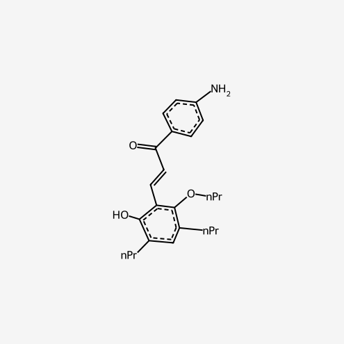 CCCOc1c(CCC)cc(CCC)c(O)c1C=CC(=O)c1ccc(N)cc1